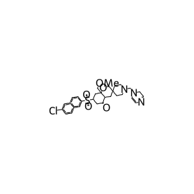 COCC12CC(S(=O)(=O)c3ccc4cc(Cl)ccc4c3)CC(=O)C1CC1(CCN(CN3C=CN=CC3)CC1)CO2